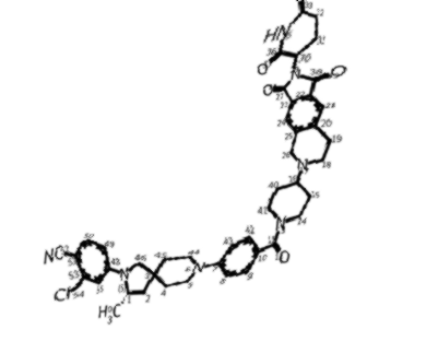 C[C@H]1CC2(CCN(c3ccc(C(=O)N4CCC(N5CCc6cc7c(cc6C5)C(=O)N(C5CCC(=O)NC5=O)C7=O)CC4)cc3)CC2)CN1c1ccc(C#N)c(Cl)c1